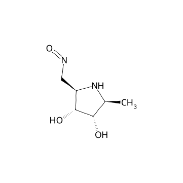 C[C@@H]1N[C@H](CN=O)[C@@H](O)[C@H]1O